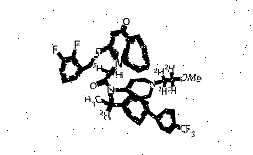 [2H]C(C)(c1ccc(-c2ccc(C(F)(F)F)cc2)cc1)N(C(=O)C([2H])([2H])n1c(SCc2cccc(F)c2F)cc(=O)c2ccccc21)C1CCN(C([2H])([2H])C([2H])([2H])OC)CC1